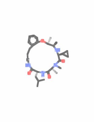 CC(C)C[C@H]1NC(=O)[C@@H](C)N(C)C(=O)[C@H](C2CC2)N[C@H](C)[C@@H](C)Oc2ccccc2CCCNC1=O